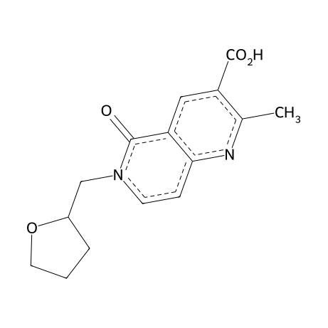 Cc1nc2ccn(CC3CCCO3)c(=O)c2cc1C(=O)O